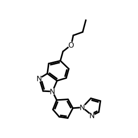 CCCOCc1ccc2c(c1)ncn2-c1cccc(-n2cccn2)c1